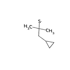 CC(C)([S])CC1CC1